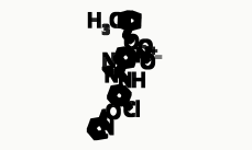 CN1C2CCC1(COc1cc3ncnc(Nc4ccc(OCc5ccccn5)c(Cl)c4)c3cc1[N+](=O)[O-])CC2